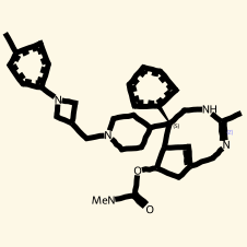 CNC(=O)OC1CC2=CC1[C@](c1ccccc1)(C1CCN(CC3CN(c4ccc(C)cc4)C3)CC1)CN/C(C)=N\C2